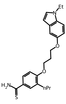 CCCc1cc(C(N)=S)ccc1OCCCOc1ccc2c(ccn2CC)c1